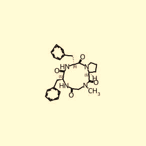 CN1CC(=O)N[C@@H](Cc2ccccc2)C(=O)N[C@H](Cc2ccccc2)C(=O)N2CCC[C@H]2C1=O